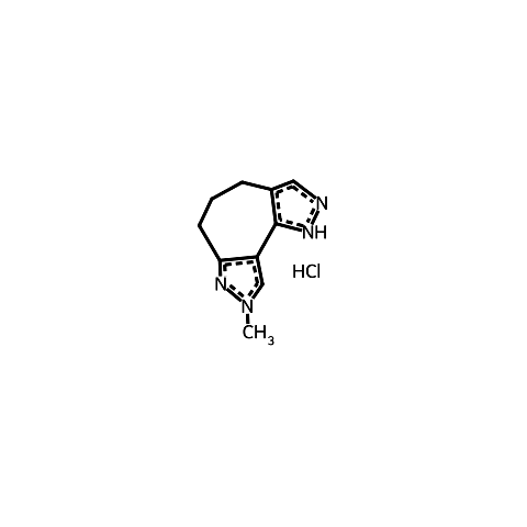 Cl.Cn1cc2c(n1)CCCc1cn[nH]c1-2